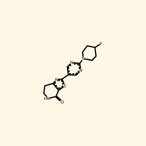 O=C1NCCc2nc(-c3cnc(N4CCC(F)CC4)nc3)sc21